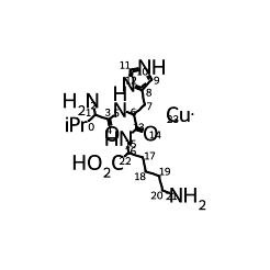 CC(C)C(N)C(=O)NC(Cc1c[nH]cn1)C(=O)NC(CCCCN)C(=O)O.[Cu]